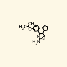 CC(C)Oc1cccc(-c2nc(N)ncc2C2CCCC2)c1